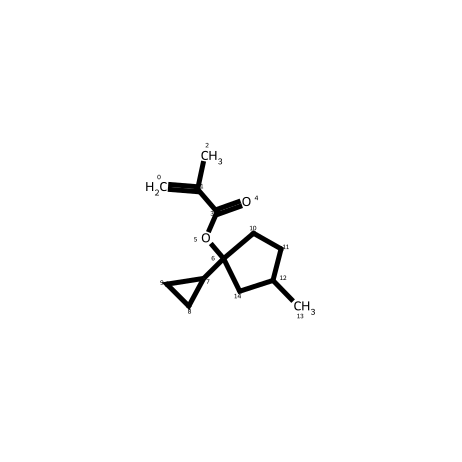 C=C(C)C(=O)OC1(C2CC2)CCC(C)C1